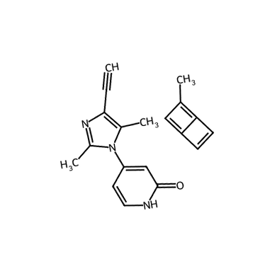 C#Cc1nc(C)n(-c2cc[nH]c(=O)c2)c1C.Cc1cc2ccc1-2